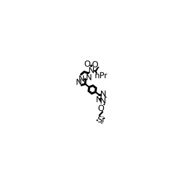 CCCC1COC(=O)N1c1ccn2ncc(-c3ccc(-c4ncn(COCC[Si](C)(C)C)n4)cc3)c2n1